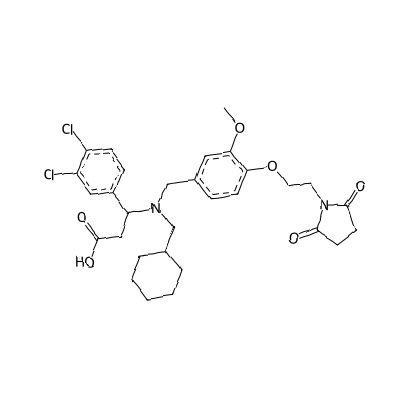 COc1cc(CN(CC2CCCCC2)C(CC(=O)O)c2ccc(Cl)c(Cl)c2)ccc1OCCN1C(=O)CCC1=O